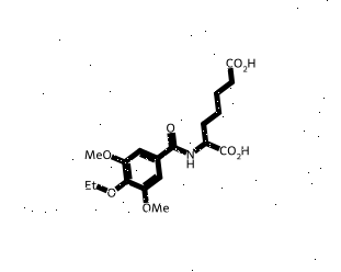 CCOc1c(OC)cc(C(=O)NC(CCCCC(=O)O)C(=O)O)cc1OC